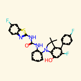 CC1(C)CN(c2ccccc2NC(=O)Nc2nc3ccc(F)cc3s2)c2c(O)cc(F)c(-c3ccc(F)cc3)c21